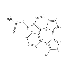 Cc1scc(-c2nnc3ccc(SCC(N)=O)nn23)c1-c1ccccc1